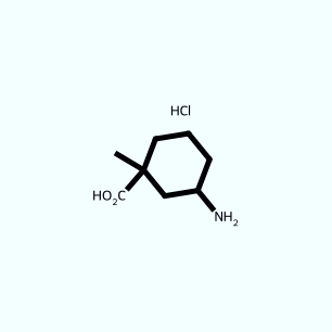 CC1(C(=O)O)CCCC(N)C1.Cl